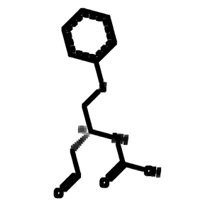 O=CC[C@H](CSc1ccccc1)NC(=O)O